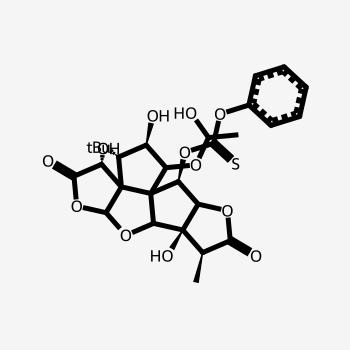 CC(O)OC1[C@H](O)[C@@H](C(C)(C)C)C23C(OC(=O)[C@@H]2O)OC2C13[C@@H](OC(=S)Oc1ccccc1)C1OC(=O)[C@@H](C)[C@@]12O